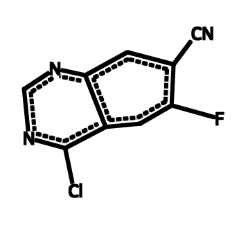 N#Cc1cc2ncnc(Cl)c2cc1F